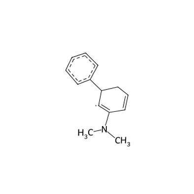 CN(C)C1=[C]C(c2ccccc2)CC=C1